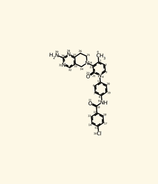 Cc1ccn(-c2ccc(NC(=O)c3ccc(Cl)cc3)cc2)c(=O)c1N1CCc2nc(N)ncc2C1